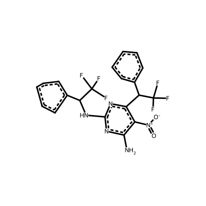 Nc1nc(NC(c2ccccc2)C(F)(F)F)nc(C(c2ccccc2)C(F)(F)F)c1[N+](=O)[O-]